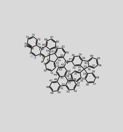 C=C/C=C\C1=C(C)C2(c3ccccc3-c3c(N(c4ccc5c(c4)C(c4ccccc4)(c4ccccc4)c4ccccc4-5)c4ccc5c6ccccc6c6ccccc6c5c4)cccc32)c2ccccc2N1c1ccccc1